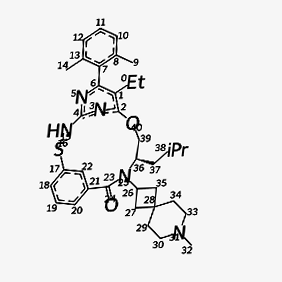 CCc1c2nc(nc1-c1c(C)cccc1C)NSc1cccc(c1)C(=O)N(C1CC3(CCN(C)CC3)C1)[C@H](CC(C)C)CO2